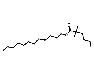 CCCCCCCCCCCCOC(=O)C(C)(C)CCCC